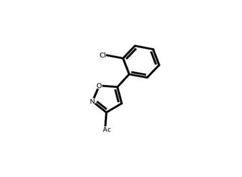 CC(=O)c1cc(-c2ccccc2Cl)on1